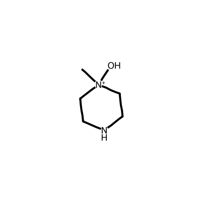 C[N+]1(O)CCNCC1